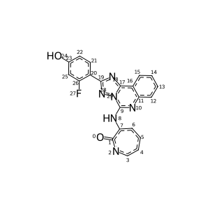 O=c1nccccc1Nc1nc2ccccc2c2nc(-c3ccc(O)cc3F)nn12